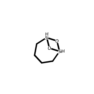 C1CC[SiH]2O[SiH](C1)O2